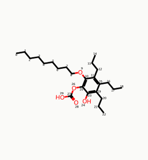 CCCCCCCCCOc1c(CCC)c(CCC)c(CCC)c(O)c1OC(=O)O